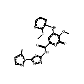 COc1ncccc1Nc1cc(C(=O)Nc2nnc(-n3nccc3C)s2)oc(=O)c1OC